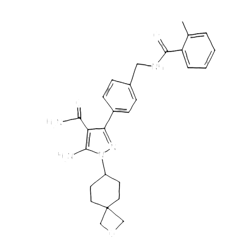 Cc1ccccc1C(=O)NCc1ccc(-c2nn(C3CCC4(CC3)COC4)c(N)c2C(N)=O)cc1